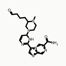 CN1CCN(C2C=CN=C(c3cnc4cnc(C(N)=O)cn34)N2)CC1CCCC=O